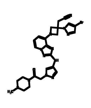 CN1CCN(C(=O)Cn2cc(Nc3nc4c(N5CC(CC#N)(n6cc(Br)cn6)C5)cccn4n3)cn2)CC1